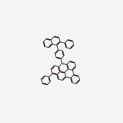 c1ccc(-c2ccc(N(c3ccc(-c4c(-c5ccccc5)ccc5ccccc45)cc3)c3cccc4c5ccccc5c5ccccc5c34)cc2)cc1